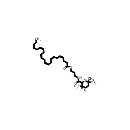 CC/C=C\C/C=C\C/C=C\C/C=C\C/C=C\C/C=C\CCC(=O)OCCCNC(=O)C1OC(C)(C)CCC1(C)C